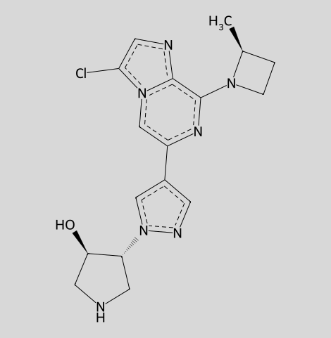 C[C@H]1CCN1c1nc(-c2cnn([C@@H]3CNC[C@H]3O)c2)cn2c(Cl)cnc12